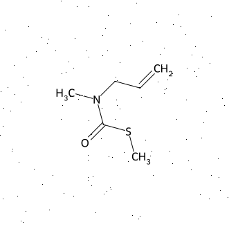 C=CCN(C)C(=O)SC